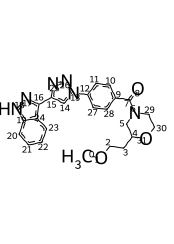 COCCC1CN(C(=O)c2ccc(-n3cc(-c4n[nH]c5ccccc45)nn3)cc2)CCO1